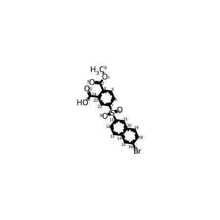 COC(=O)c1ccc(S(=O)(=O)c2ccc3cc(Br)ccc3c2)cc1C(=O)O